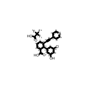 O=C(O)C(F)(F)F.O=C(O)c1cccc(C#Cc2ccncc2)c1-c1cc(O)cc(Cl)c1